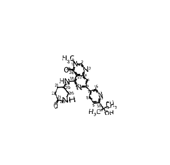 Cn1cnc2cc(-c3ccc(C(C)(C)O)nc3)nc(NC3CCC(=O)NC3)c2c1=O